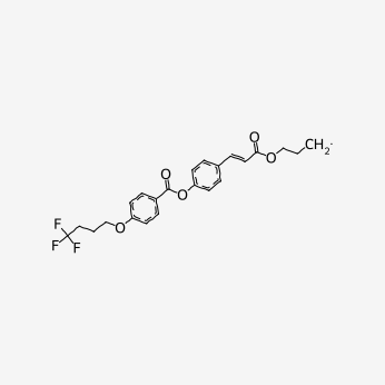 [CH2]CCOC(=O)/C=C/c1ccc(OC(=O)c2ccc(OCCCC(F)(F)F)cc2)cc1